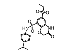 CCS(=O)(=O)c1cc2c(c(S(=O)(=O)Nc3ccc(C(C)C)cc3)c1)OCC(=O)N2